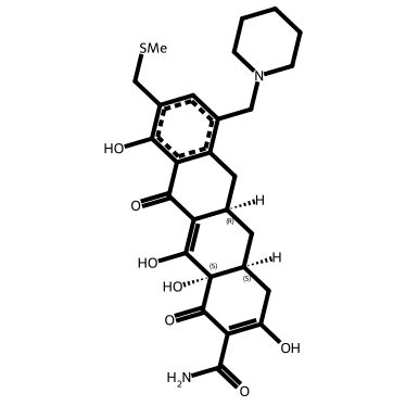 CSCc1cc(CN2CCCCC2)c2c(c1O)C(=O)C1=C(O)[C@]3(O)C(=O)C(C(N)=O)=C(O)C[C@@H]3C[C@@H]1C2